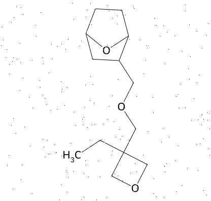 CCC1(COCC2CC3CCC2O3)COC1